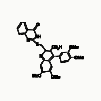 COc1ccc(-c2c(C(=O)O)c(CSc3nc4ccccc4c(=O)[nH]3)nc3cc(OC)c(OC)cc23)cc1OC